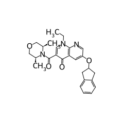 CCn1cc(C(=O)N2[C@H](C)COC[C@@H]2C)c(=O)c2cc(OC3Cc4ccccc4C3)cnc21